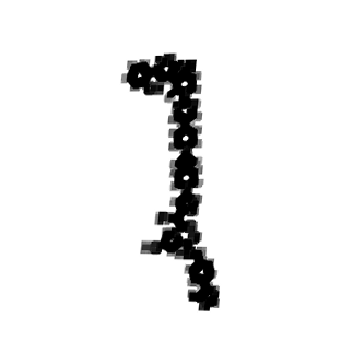 Cc1ncsc1-c1ccc(CNC(=O)[C@@H]2C[C@@H](O)CN2C(=O)C(c2cc(N3CCC4(CC3)CC(N3CCC(c5cnc(N6CCc7[nH]c8nnc(-c9ccccc9O)cc8c7[C@@H]6C)nc5)CC3)C4)no2)C(C)C)cc1